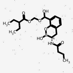 CCCC(=O)N[C@H]1Cc2cccc(C(O)OCOC(=O)C(CC)CC)c2OB1O